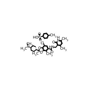 Cc1cc(C)c(CNC(=O)c2cc(Cl)c3c(c2C)O[C@@](C)([C@H]2CC[C@H](N(C)C)CC2)O3)c(=O)[nH]1.Cc1ccc(S(=O)(=O)O)cc1